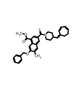 COC(=O)c1cc(C(=S)N2CCC(/C=C3\C=CC=CCC3)CC2)cc2cc(C)c(OCc3ccccc3)cc12